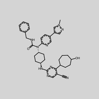 Cn1cc(-c2ccc(N(C(=O)NCc3ccccc3)[C@H]3CC[C@H](Nc4ncc(C#N)c(C5CCCC(O)CC5)n4)CC3)nc2)cn1